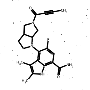 CC#CC(=O)N1CC2CCN(c3c(F)cc(C(N)=O)c4[nH]c(C)c(C)c34)C2C1